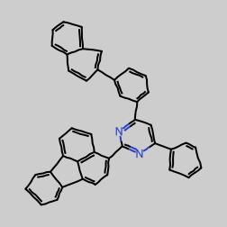 c1ccc(-c2cc(-c3cccc(-c4ccc5ccccc5c4)c3)nc(-c3ccc4c5c(cccc35)-c3ccccc3-4)n2)cc1